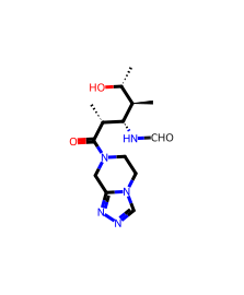 C[C@@H]([C@H](NC=O)[C@@H](C)C(=O)N1CCn2cnnc2C1)[C@@H](C)O